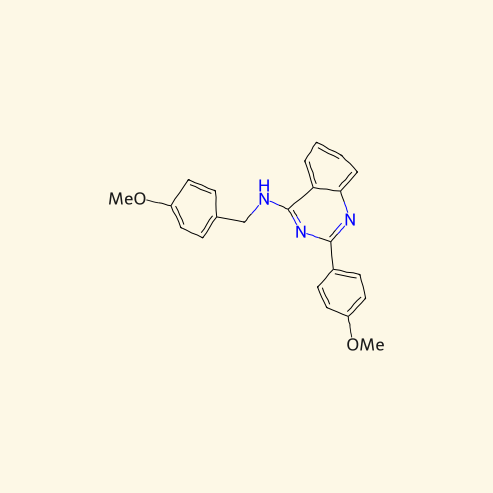 COc1ccc(CNc2nc(-c3ccc(OC)cc3)nc3ccccc23)cc1